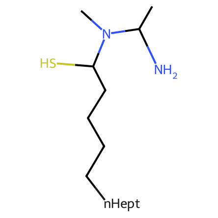 CCCCCCCCCCCC(S)N(C)C(C)N